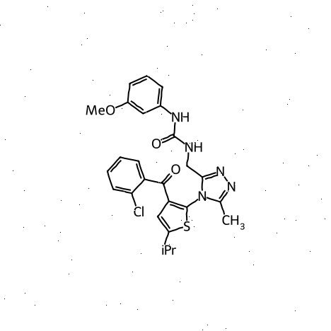 COc1cccc(NC(=O)NCc2nnc(C)n2-c2sc(C(C)C)cc2C(=O)c2ccccc2Cl)c1